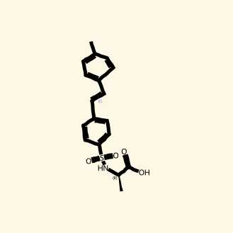 Cc1ccc(/C=C/c2ccc(S(=O)(=O)N[C@H](C)C(=O)O)cc2)cc1